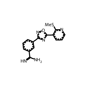 CSc1ncccc1-c1nc(-c2cccc(C(=N)N)c2)no1